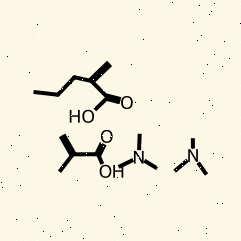 C=C(C)C(=O)O.C=C(CCC)C(=O)O.CN(C)C.CN(C)C